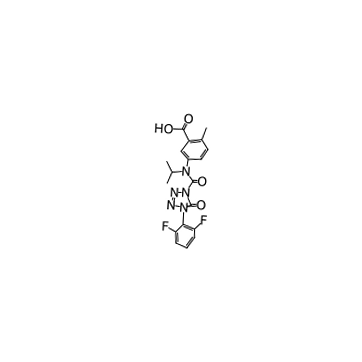 Cc1ccc(N(C(=O)n2nnn(-c3c(F)cccc3F)c2=O)C(C)C)cc1C(=O)O